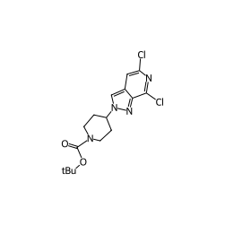 CC(C)(C)OC(=O)N1CCC(n2cc3cc(Cl)nc(Cl)c3n2)CC1